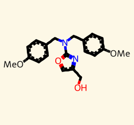 COc1ccc(CN(Cc2ccc(OC)cc2)c2nc(CO)co2)cc1